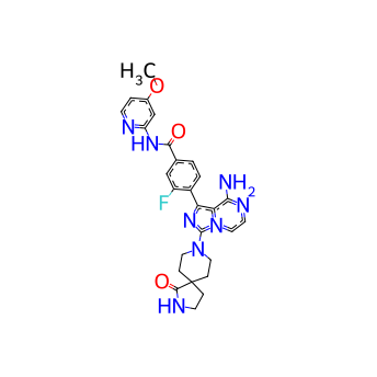 COc1ccnc(NC(=O)c2ccc(-c3nc(N4CCC5(CCNC5=O)CC4)n4ccnc(N)c34)c(F)c2)c1